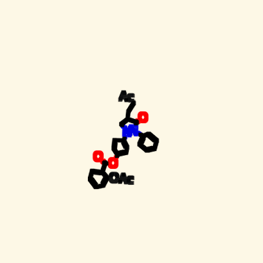 CC(=O)CCC1CN(c2ccc(OC(=O)c3ccccc3OC(C)=O)cc2)N(c2ccccc2)C1=O